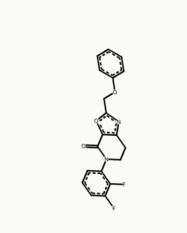 O=C1c2oc(COc3ccccc3)nc2CCN1c1cccc(F)c1F